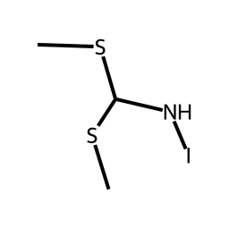 CSC(NI)SC